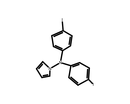 Ic1ccc(N(c2ccc(I)cc2)n2cccc2)cc1